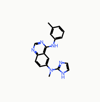 Cc1cccc(Nc2ncnc3ccc(N(C)c4ncc[nH]4)cc23)c1